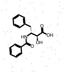 O=C(N[C@H](Cc1ccccc1)[C@H](O)C(=O)O)c1ccccc1